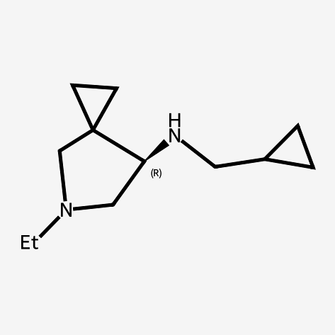 CCN1C[C@H](NCC2CC2)C2(CC2)C1